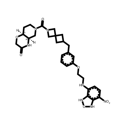 O=C1CO[C@H]2CCN(C(=O)N3CC4(CC(Cc5cccc(OCCNc6ccc([N+](=O)[O-])c7c6NON7)c5)C4)C3)C[C@H]2N1